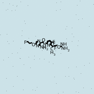 C[C@@H](c1nc(NC(=O)c2ncc(OCCCF)nc2N)ccc1F)C(F)(F)COC(=N)N